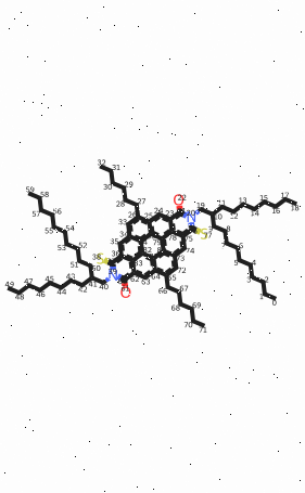 CCCCCCCCCCC(CCCCCCCC)Cn1c(=O)c2cc3c(CCCCCC)cc4cc5c(=S)n(CC(CCCCCCCC)CCCCCCCCCC)c(=O)c6cc7c(CCCCCC)cc8cc(c1=S)c2c1c8c7c(c65)c4c31